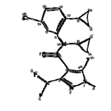 Cn1nc(C(F)F)c(C(=O)N(c2cc(Cl)ccc2C2CC2)C2CC2)c1F